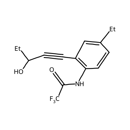 CCc1ccc(NC(=O)C(F)(F)F)c(C#CC(O)CC)c1